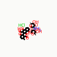 CO[C@@H]1[C@@H](N)[C@@H](O[C@H]2[C@H](Oc3cccc4c(O)c5c(=O)oc6ccc(C)c7c(=O)oc(c34)c5c67)O[C@H](C)[C@H](O)[C@]2(C)O)O[C@H](C)[C@@H]1O.Cl